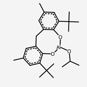 Cc1cc2c(c(C(C)(C)C)c1)[O][Al]([O]C(C)C)[O]c1c(cc(C)cc1C(C)(C)C)C2